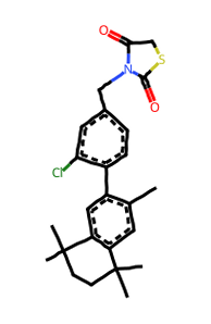 Cc1cc2c(cc1-c1ccc(CN3C(=O)CSC3=O)cc1Cl)C(C)(C)CCC2(C)C